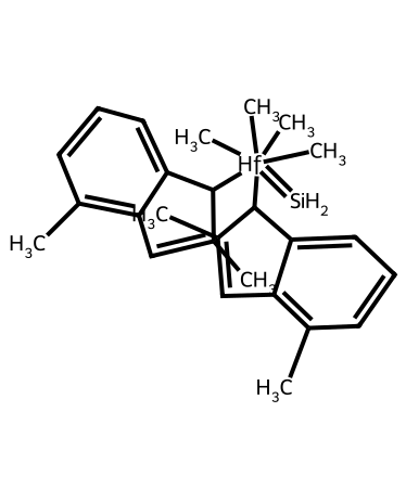 CC1=Cc2c(C)cccc2[CH]1[Hf]([CH3])([CH3])([CH3])([CH3])(=[SiH2])[CH]1C(C)=Cc2c(C)cccc21